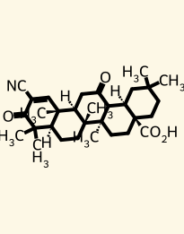 CC1(C)CC[C@]2(C(=O)O)CC[C@]3(C)C(C(=O)C[C@@H]4[C@@]5(C)C=C(C#N)C(=O)C(C)(C)[C@@H]5CC[C@]43C)[C@H]2C1